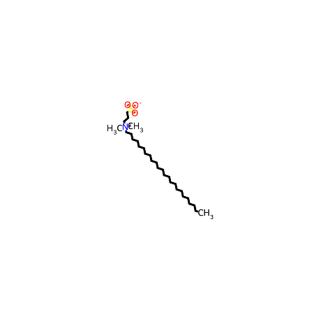 CCCCCCCCCCCCCCCCCCCCCCCC[N+](C)(C)CCCS(=O)(=O)[O-]